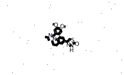 COc1ccc(/C(=N/C(C)C)N2CCCc3cc(C4=NNC(=O)SC4)ccc32)cc1OC